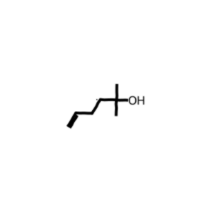 C=CC[CH]C(C)(C)O